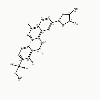 Cc1nnc(N[C@H](C)c2cccc(C(F)(F)CO)c2F)c2cc(N3CC(O)C(F)C3)cnc12